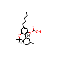 CCCCCc1cc(OC(=O)O)c2c(c1)OC(C)(C)[C@H]1CCC(C)C[C@H]21